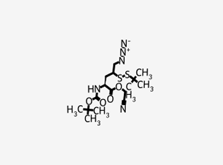 CC(C)(C)OC(=O)N[C@@H](CC(CN=[N+]=[N-])SSC(C)(C)C)C(=O)OCC#N